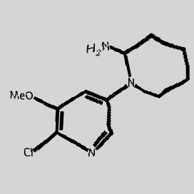 COc1cc(N2CCCCC2N)cnc1Cl